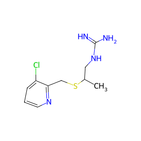 CC(CNC(=N)N)SCc1ncccc1Cl